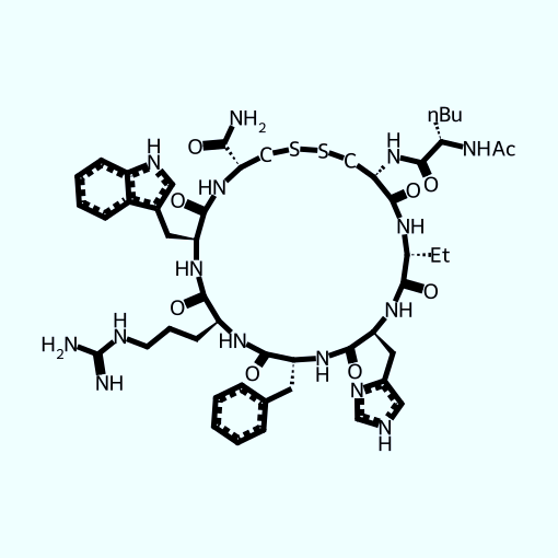 CCCC[C@H](NC(C)=O)C(=O)N[C@H]1CSSC[C@@H](C(N)=O)NC(=O)[C@H](Cc2c[nH]c3ccccc23)NC(=O)[C@H](CCCNC(=N)N)NC(=O)[C@@H](Cc2ccccc2)NC(=O)[C@H](Cc2c[nH]cn2)NC(=O)[C@@H](CC)NC1=O